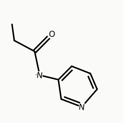 CCC(=O)[N]c1cccnc1